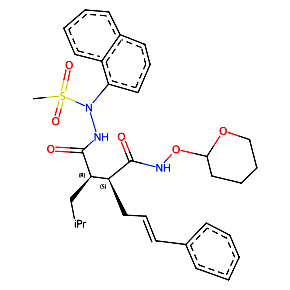 CC(C)C[C@@H](C(=O)NN(c1cccc2ccccc12)S(C)(=O)=O)[C@H](CC=Cc1ccccc1)C(=O)NOC1CCCCO1